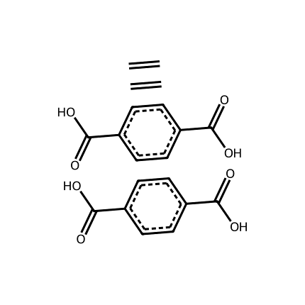 C=C.C=C.O=C(O)c1ccc(C(=O)O)cc1.O=C(O)c1ccc(C(=O)O)cc1